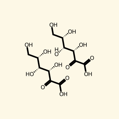 O=C(O)C(=O)[C@@H](O)[C@H](O)[C@@H](O)CO.O=C(O)C(=O)[C@@H](O)[C@H](O)[C@@H](O)CO